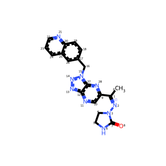 C/C(=N/N1CCNC1=O)c1cnc2nnn(Cc3ccc4ncccc4c3)c2n1